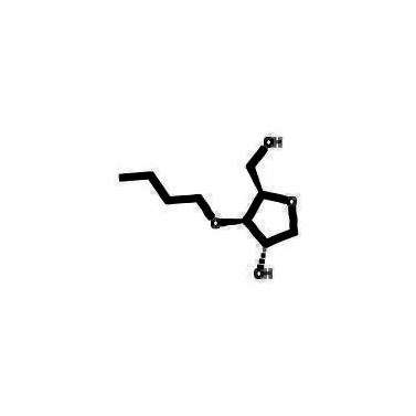 CCCCO[C@@H]1[C@@H](O)CO[C@@H]1CO